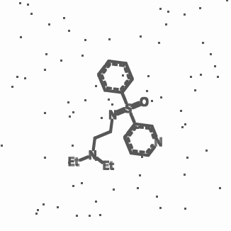 CCN(CC)CCN=S(=O)(c1ccccc1)c1cccnc1